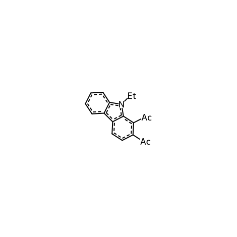 CCn1c2ccccc2c2ccc(C(C)=O)c(C(C)=O)c21